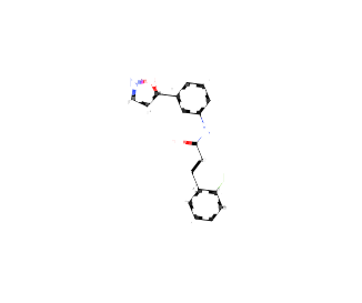 O=C(C=Cc1ccccc1F)Nc1cccc(-c2ccno2)c1